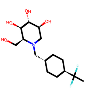 CC(F)(F)[C@H]1CC[C@H](CN2C[C@H](O)[C@@H](O)[C@H](O)[C@@H]2CO)CC1